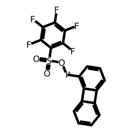 O=S(=O)(O[I+]c1cccc2c1-c1ccccc1-2)c1c(F)c(F)c(F)c(F)c1F